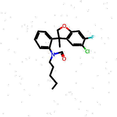 CCCCCN(C=O)c1ccccc1C1(C)COc2cc(F)c(Cl)cc21